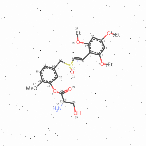 CCOc1cc(OCC)c(/C=C/[S+]([O-])Cc2ccc(OC)c(OC(=O)[C@@H](N)CO)c2)c(OCC)c1